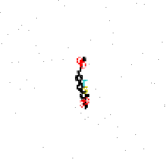 C=CC(=O)OCCCc1ccc(-c2ccc3c(sc4c(C)c(OC(=O)C=C)ccc43)c2F)cc1